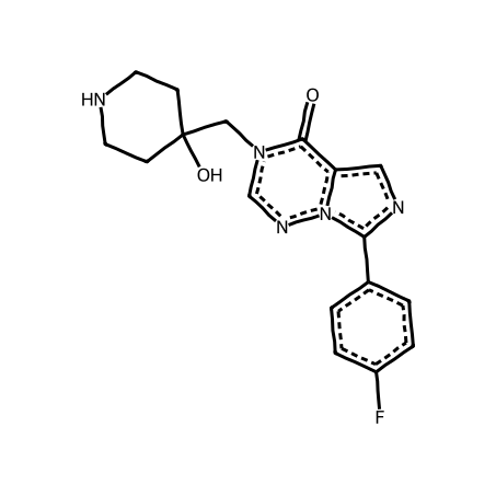 O=c1c2cnc(-c3ccc(F)cc3)n2ncn1CC1(O)CCNCC1